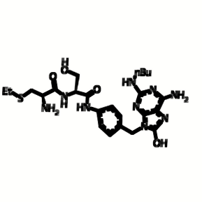 CCCCNc1nc(N)c2nc(O)n(Cc3ccc(NC(=O)[C@H](CO)NC(=O)[C@@H](N)CSCC)cc3)c2n1